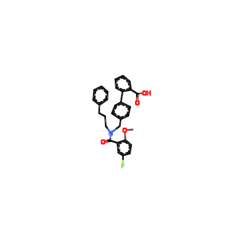 COc1ccc(F)cc1C(=O)N(CCCc1ccccc1)Cc1ccc(-c2ccccc2C(=O)O)cc1